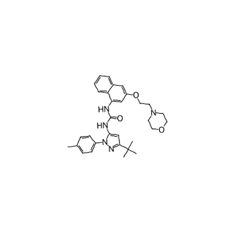 Cc1ccc(-n2nc(C(C)(C)C)cc2NC(=O)Nc2cc(OCCN3CCOCC3)cc3ccccc23)cc1